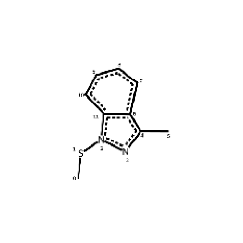 CSn1nc(C)c2ccccc21